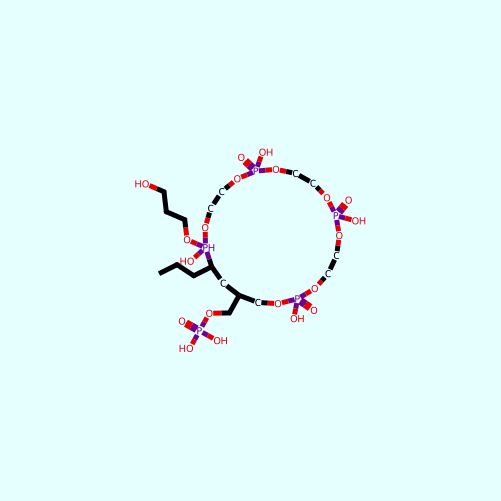 CCCC1CC(COP(=O)(O)O)COP(=O)(O)OCCOP(=O)(O)OCCOP(=O)(O)OCCO[PH]1(O)OCCCO